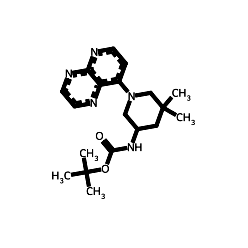 CC1(C)CC(NC(=O)OC(C)(C)C)CN(c2ccnc3nccnc23)C1